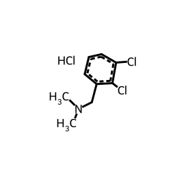 CN(C)Cc1cccc(Cl)c1Cl.Cl